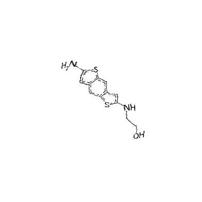 Nc1cc2cc3sc(NCCO)cc3cc2s1